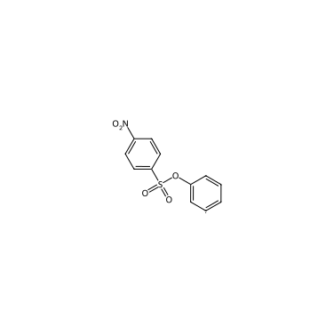 O=[N+]([O-])c1ccc(S(=O)(=O)Oc2c[c]ccc2)cc1